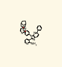 Nc1ncccc1-c1nc2ccc(-c3ccccc3)nc2n1-c1ccc(CN2CC3CCC(C2)N3c2ccncn2)cc1